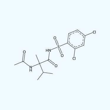 CC(=O)NC(C)(C(=O)NS(=O)(=O)c1ccc(Cl)cc1Cl)C(C)C